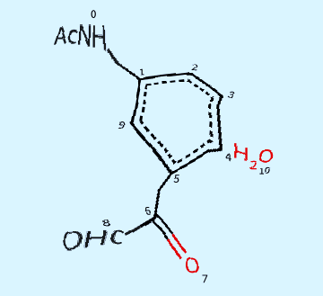 CC(=O)Nc1cccc(C(=O)C=O)c1.O